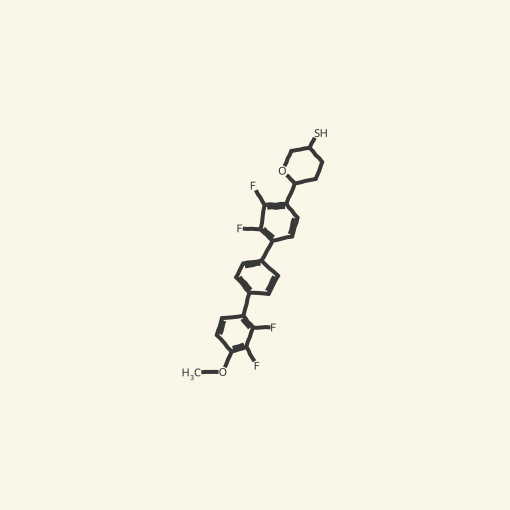 COc1ccc(-c2ccc(-c3ccc(C4CCC(S)CO4)c(F)c3F)cc2)c(F)c1F